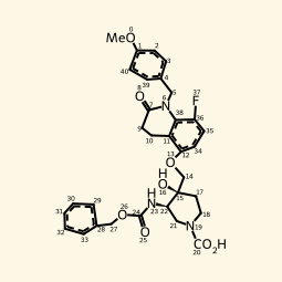 COc1ccc(CN2C(=O)CCc3c(OC[C@]4(O)CCN(C(=O)O)C[C@H]4NC(=O)OCc4ccccc4)ccc(F)c32)cc1